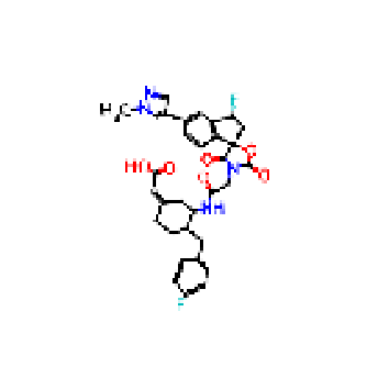 Cn1cc(-c2ccc3c(c2)[C@H](F)C[C@]32OC(=O)N(CC(=O)NC3CC(=CC(=O)O)CCC3Cc3ccc(F)cc3)C2=O)cn1